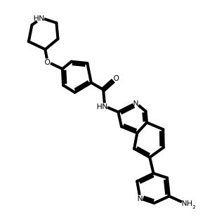 Nc1cncc(-c2ccc3cnc(NC(=O)c4ccc(OC5CCNCC5)cc4)cc3c2)c1